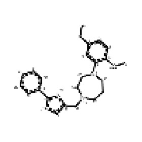 CCc1ccc(OC)c(N2CCCN(Cc3csc(-c4ccccc4)n3)CC2)c1